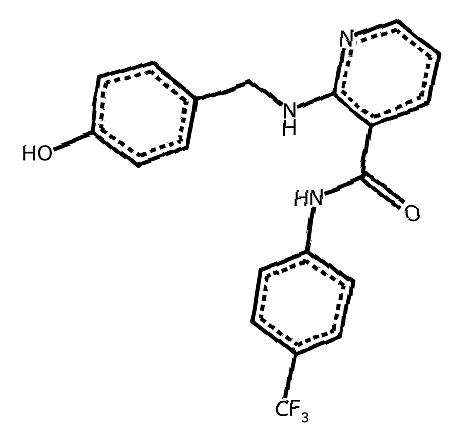 O=C(Nc1ccc(C(F)(F)F)cc1)c1cccnc1NCc1ccc(O)cc1